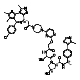 Cc1ncsc1-c1ccc([C@H](C)NC(=O)[C@@H]2C[C@@H](O)CN2C(=O)C(NC(=O)COc2nccc(N3CCN(C(=O)C[C@@H]4N=C(c5ccc(Cl)cc5)c5c(sc(C)c5C)-n5c(C)nnc54)CC3)n2)C(C)(C)C)cc1